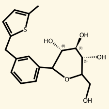 Cc1ccc(Cc2cccc(C3OC(CO)[C@@H](O)[C@H](O)[C@H]3O)c2)s1